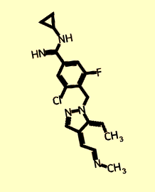 C\C=c1/c(=C\C=N\C)cnn1Cc1c(F)cc(C(=N)NC2CC2)cc1Cl